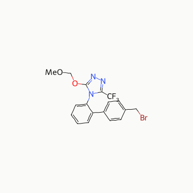 COCOc1nnc(C(F)(F)F)n1-c1ccccc1-c1ccc(CBr)cc1